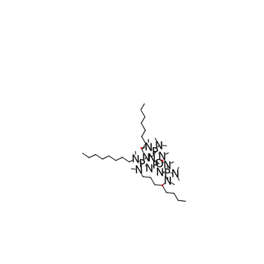 CCCCCCCCN(C)P(=NP(=O)(N=P(N(C)C)(N(C)C)N(C)C)N=P(N(C)C)(N(C)C)N(C)C)(N(C)CCCCCCCC)N(C)CCCCCCCC